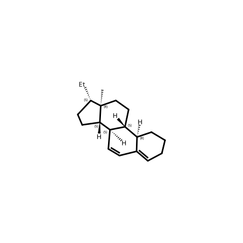 CC[C@H]1CC[C@H]2[C@@H]3C=CC4=CCCC[C@@H]4[C@H]3CC[C@]12C